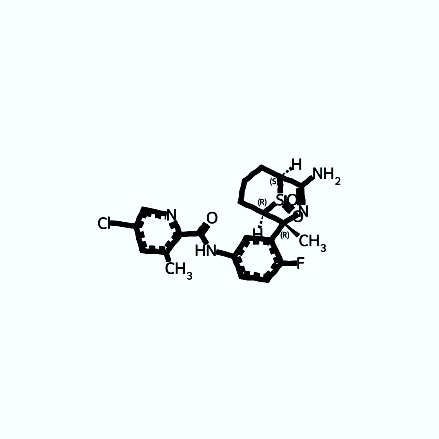 Cc1cc(Cl)cnc1C(=O)Nc1ccc(F)c([C@@]2(C)N=C(N)[C@@H]3CCC[C@H]2S3(=O)=O)c1